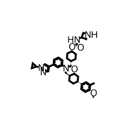 COc1ccc([C@H]2CC[C@H](CN(c3cccc(-c4cnn(C5CC5)c4)c3)C(=O)[C@H]3CC[C@H](OC(=O)NC4CNC4)CC3)CC2)cc1C